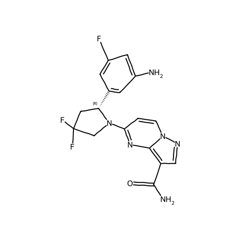 NC(=O)c1cnn2ccc(N3CC(F)(F)C[C@@H]3c3cc(N)cc(F)c3)nc12